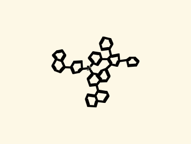 c1ccc(-c2cc(-c3ccccc3)c(-c3cccc(N(c4ccc(-c5cccc6ccccc56)cc4)c4ccc(-c5cccc6ccccc56)cc4)c3)c(-c3ccccc3)c2)cc1